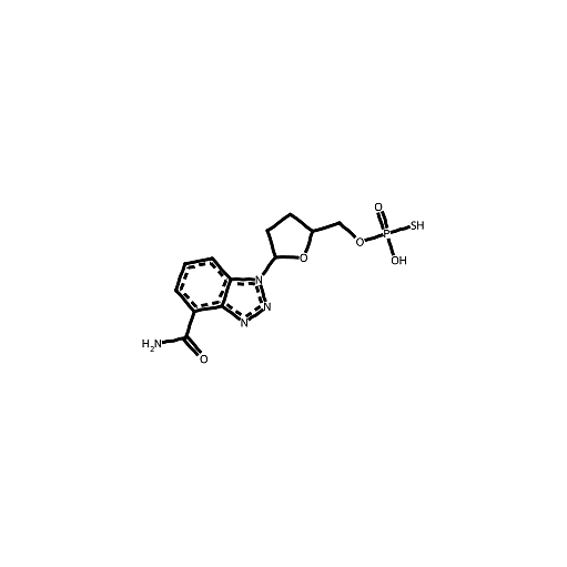 NC(=O)c1cccc2c1nnn2C1CCC(COP(=O)(O)S)O1